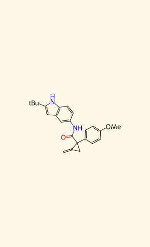 C=C1CC1(C(=O)Nc1ccc2[nH]c(C(C)(C)C)cc2c1)c1ccc(OC)cc1